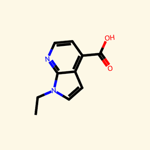 CCn1ccc2c(C(=O)O)ccnc21